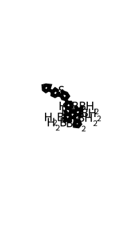 Bc1c(B)c(B)c2c(-c3ccc(-c4ccc5sc6cc(-c7ccccc7)ccc6c5c4)cc3)c3c(B)c(B)c(B)c(B)c3c(-c3ccccc3)c2c1B